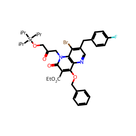 CCOC(=O)c1c(OCc2ccccc2)c2ncc(Cc3ccc(F)cc3)c(Br)c2n(CC(=O)CO[Si](C(C)C)(C(C)C)C(C)C)c1=O